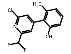 Cc1cccc(C)c1-c1cc(Cl)nc(C(F)F)c1